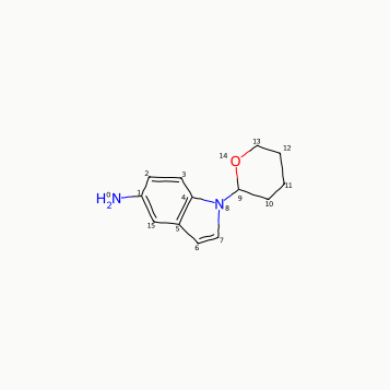 Nc1ccc2c(ccn2C2CCCCO2)c1